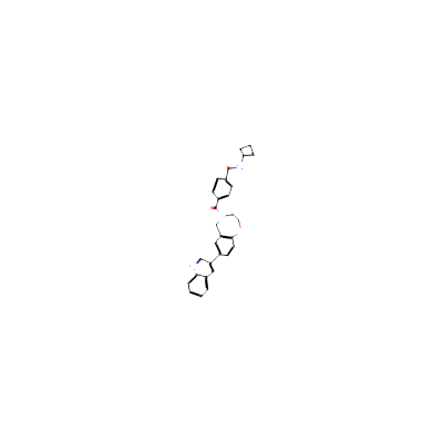 O=C(NC1CCC1)c1ccc(C(=O)N2CCOc3ccc(-c4cnc5ccccc5c4)cc3C2)cc1